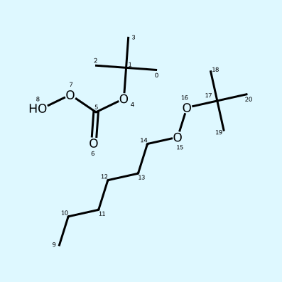 CC(C)(C)OC(=O)OO.CCCCCCOOC(C)(C)C